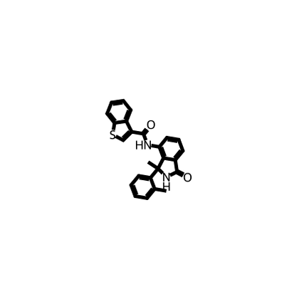 Cc1ccccc1C1(C)NC(=O)c2cccc(NC(=O)c3csc4ccccc34)c21